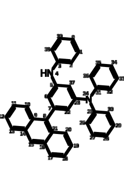 c1ccc(Nc2cc(-c3c4ccccc4cc4ccccc34)cc(N(c3ccccc3)c3ccccc3)c2)cc1